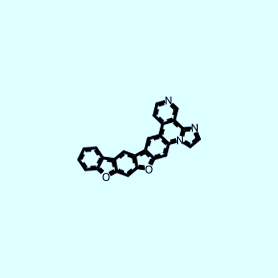 c1ccc2c(c1)oc1cc3oc4cc5c(cc4c3cc12)c1ccncc1c1nccn51